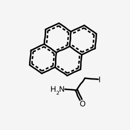 NC(=O)CI.c1cc2ccc3cccc4ccc(c1)c2c34